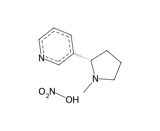 CN1CCC[C@H]1c1cccnc1.O=[N+]([O-])O